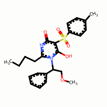 CCCCc1nc(=O)c(S(=O)(=O)c2ccc(C)cc2)c(O)n1C(COC)c1ccccc1